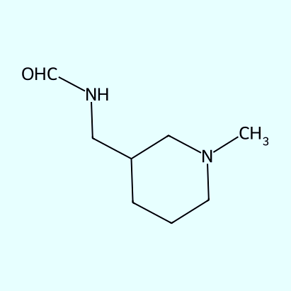 CN1CCCC(CNC=O)C1